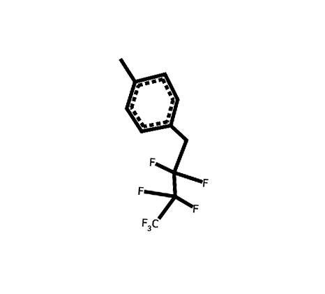 Cc1ccc(CC(F)(F)C(F)(F)C(F)(F)F)cc1